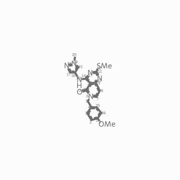 COc1ccc(Cn2ccc3nc(SC)nc(Nc4cnn(C)c4)c3c2=O)cc1